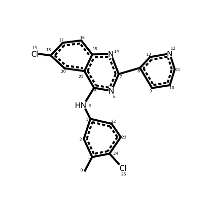 Cc1cc(Nc2nc(-c3cccnc3)nc3ccc(Cl)cc23)ccc1Cl